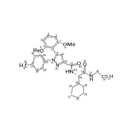 COc1cccc(OC)c1-c1cc(C(=O)N[C@H](C(=O)NCC(=O)O)C2CCCCC2)nn1-c1ccc(C)cc1